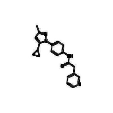 Cc1cc(C2CC2)n(-c2ccc(NC(=O)Cc3cccnc3)cc2)n1